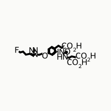 O=C(O)CC[C@H](NC(=O)N[C@@H](Cc1ccc(OCCn2cc(CCCF)nn2)cc1)C(=O)O)C(=O)O